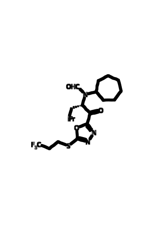 CC(C)C[C@@H](C(=O)c1nnc(SCCC(F)(F)F)o1)N(C=O)C1CCCCCC1